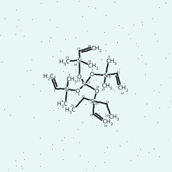 C=C[Si](C)(C)O[Si](O[Si](C)(C)C=C)(O[Si](C)(C)C=C)O[Si](C=C)(CC)CC